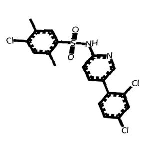 Cc1cc(S(=O)(=O)Nc2ccc(-c3ccc(Cl)cc3Cl)cn2)c(C)cc1Cl